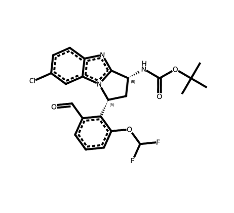 CC(C)(C)OC(=O)N[C@@H]1C[C@H](c2c(C=O)cccc2OC(F)F)n2c1nc1ccc(Cl)cc12